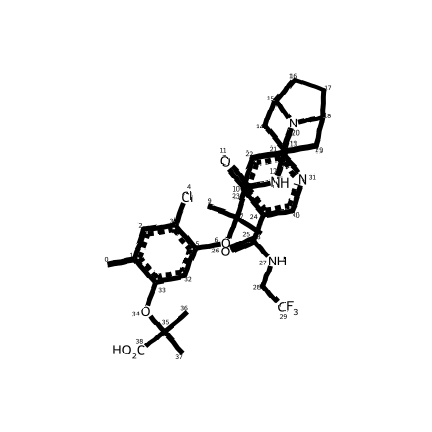 Cc1cc(Cl)c(OC(C)(C)C(=O)NC2CC3CCC(C2)N3c2ccc(C(=O)NCC(F)(F)F)cn2)cc1OC(C)(C)C(=O)O